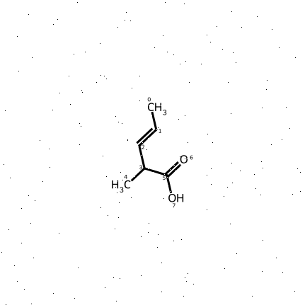 C/C=C/C(C)C(=O)O